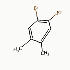 Cc1cc(Br)c(Br)cc1C